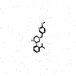 COc1ccc(CN2CCN[C@H](c3ccccc3C(C)C)C2)cn1